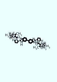 CC(C)[C@H](NS(C)(=O)=O)C(=O)N1CCC[C@H]1c1nc2cc(-c3ccc4nc([C@@H]5CCCN5C(=O)[C@@H](NS(C)(=O)=O)C(C)C)[nH]c4c3)ccc2[nH]1